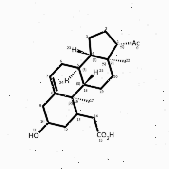 CC(=O)[C@H]1CC[C@H]2[C@@H]3CC=C4CC(O)CC(CC(=O)O)[C@]4(C)[C@H]3CC[C@]12C